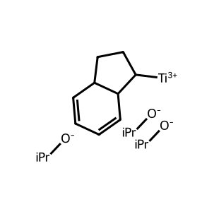 CC(C)[O-].CC(C)[O-].CC(C)[O-].[Ti+3][CH]1CCC2C=CC=CC12